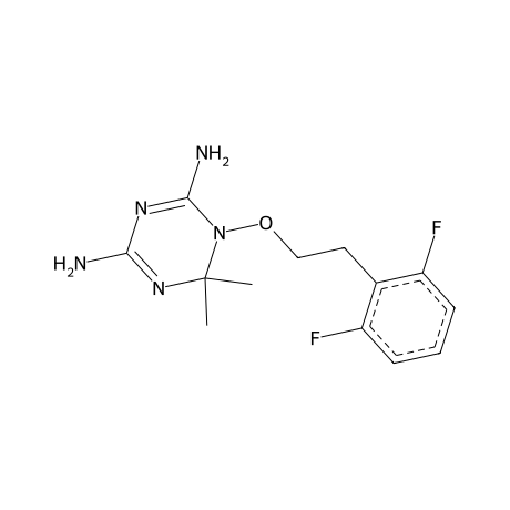 CC1(C)N=C(N)N=C(N)N1OCCc1c(F)cccc1F